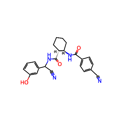 N#Cc1ccc(C(=O)N[C@@H]2CCCC[C@H]2C(=O)NC(C#N)c2cccc(O)c2)cc1